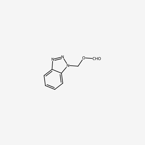 O=COCn1nnc2ccccc21